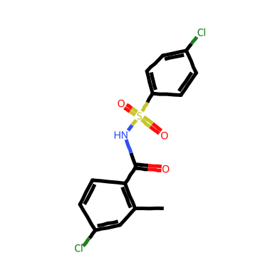 Cc1cc(Cl)ccc1C(=O)NS(=O)(=O)c1ccc(Cl)cc1